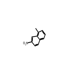 Cc1cccc2ccc([N+](=O)[O-])cc12